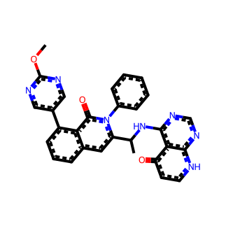 COc1ncc(-c2cccc3cc(C(C)Nc4ncnc5[nH]ccc(=O)c45)n(-c4ccccc4)c(=O)c23)cn1